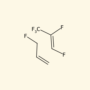 C=CCF.FC=C(F)C(F)(F)F